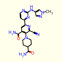 Cn1cc(Nc2nccc(-c3cc(C(N)=O)c(N4CCC(C(N)=O)CC4)c(C#N)n3)n2)cn1